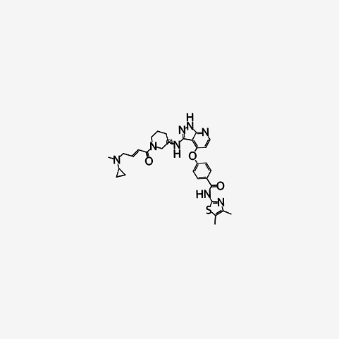 Cc1nc(NC(=O)c2ccc(Oc3ccnc4[nH]nc(N[C@@H]5CCCN(C(=O)C=CCN(C)C6CC6)C5)c34)cc2)sc1C